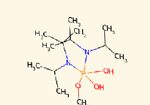 COP(O)(O)(N(C(C)C)C(C)C)N(C(C)C)C(C)C